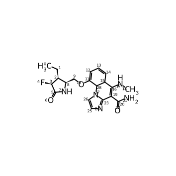 CC[C@@H]1[C@H](F)C(=O)N[C@@H]1COC1=CC=CC2C(NC)=C(C(N)=O)c3nccn3C12